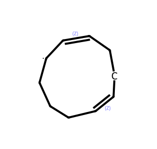 [CH]1/C=C\CC/C=C\CCC1